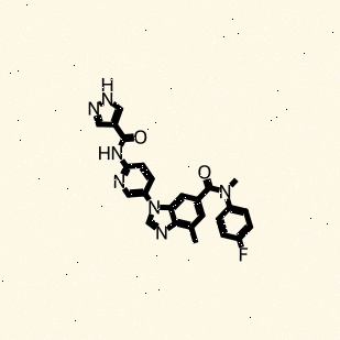 Cc1cc(C(=O)N(C)c2ccc(F)cc2)cc2c1ncn2-c1ccc(NC(=O)c2cn[nH]c2)nc1